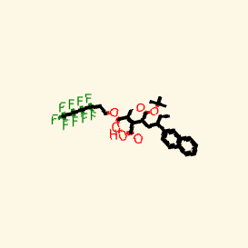 CCC(CC(C(=O)OC(C)(C)C)C(C(=O)O)C(C)C(=O)OCCC(F)(F)C(F)(F)C(F)(F)C(F)(F)F)c1ccc2ccccc2c1